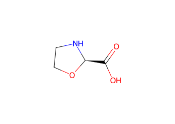 O=C(O)[C@@H]1NCCO1